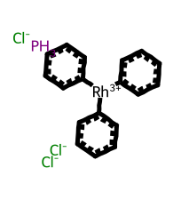 P.[Cl-].[Cl-].[Cl-].c1cc[c]([Rh+3]([c]2ccccc2)[c]2ccccc2)cc1